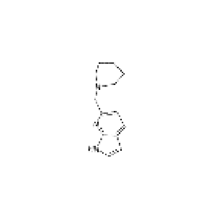 c1cc2ccc(CN3CCCCC3)nc2[nH]1